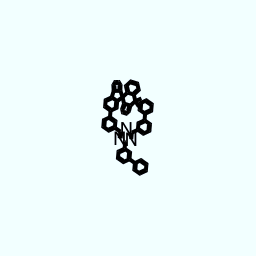 CC1(C)c2ccccc2C2(c3ccccc3-c3ccc(-c4cccc(-c5nc(-c6cccc(-c7ccccc7)c6)nc(-c6cccc(-c7ccccc7)c6)n5)c4)cc32)c2ccccc21